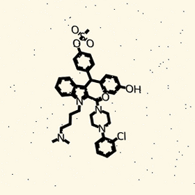 CN(C)CCCCn1c(C(=O)N2CCN(c3ccccc3Cl)CC2)c(C(c2ccc(O)cc2)c2ccc(OS(C)(=O)=O)cc2)c2ccccc21